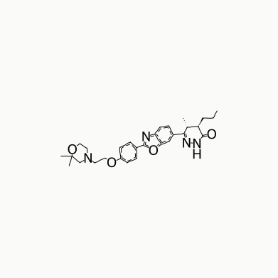 CCC[C@H]1C(=O)NN=C(c2ccc3nc(-c4ccc(OCCN5CCOC(C)(C)C5)cc4)oc3c2)[C@@H]1C